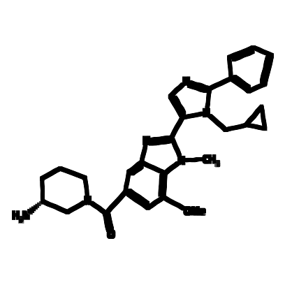 COc1cc(C(=O)N2CCC[C@@H](N)C2)cc2nc(-c3cnc(-c4ccccc4)n3CC3CC3)n(C)c12